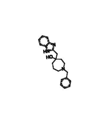 OC1(Cc2nc3ccccc3[nH]2)CCCN(Cc2ccccc2)CC1